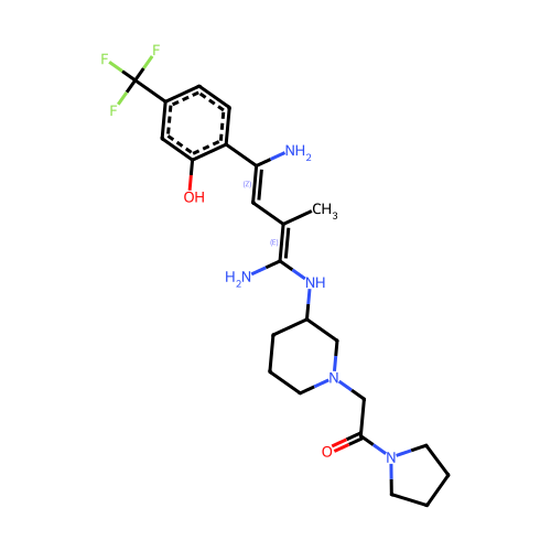 CC(/C=C(\N)c1ccc(C(F)(F)F)cc1O)=C(/N)NC1CCCN(CC(=O)N2CCCC2)C1